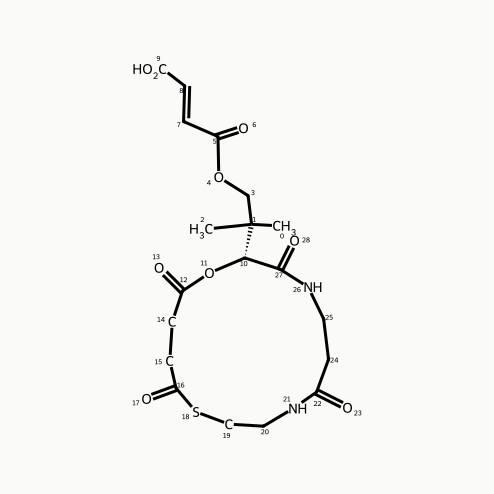 CC(C)(COC(=O)/C=C/C(=O)O)[C@H]1OC(=O)CCC(=O)SCCNC(=O)CCNC1=O